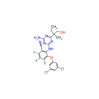 CCC(C)(CO)c1nc(N)nc(Nc2c(C#N)c(F)c(F)c(F)c2Oc2cc(Cl)cc(Cl)c2)n1